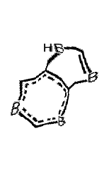 B1=CBc2cbcbc21